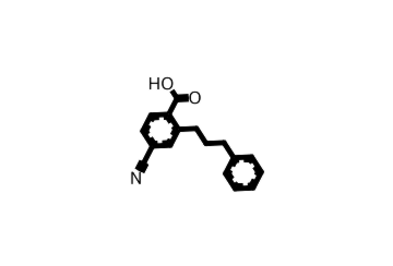 N#Cc1ccc(C(=O)O)c(CCCc2ccccc2)c1